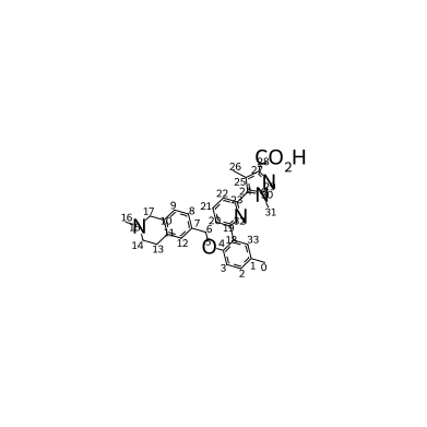 Cc1ccc(OCc2ccc3c(c2)CCN(C)C3)c(-c2cccc(-c3c(C)c(C(=O)O)nn3C)n2)c1